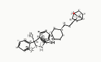 C[C@@H](NC(=O)N[C@H]1CC[C@H](CCN2CC3CCC(CC3)C2)CC1)C(O)(c1ccccc1)c1ccccc1